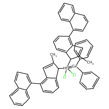 CC1=Cc2c(-c3cccc4ccccc34)cccc2[CH]1[Hf]([Cl])([Cl])([CH]1C(C)=Cc2c(-c3cccc4ccccc34)cccc21)=[Ge]([c]1ccccc1)[c]1ccccc1